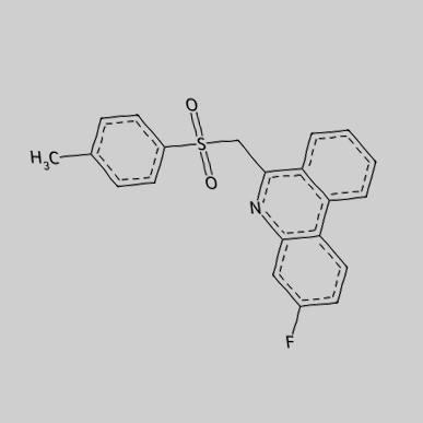 Cc1ccc(S(=O)(=O)Cc2nc3cc(F)ccc3c3ccccc23)cc1